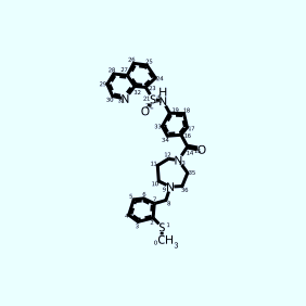 CSc1ccccc1CN1CCCN(C(=O)c2ccc(N[S+]([O-])c3cccc4cccnc34)cc2)CC1